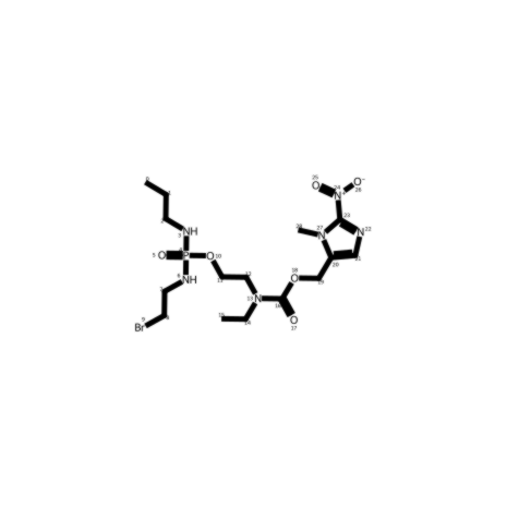 CCCNP(=O)(NCCBr)OCCN(CC)C(=O)OCc1cnc([N+](=O)[O-])n1C